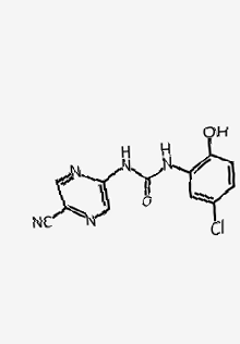 N#Cc1cnc(NC(=O)Nc2cc(Cl)ccc2O)cn1